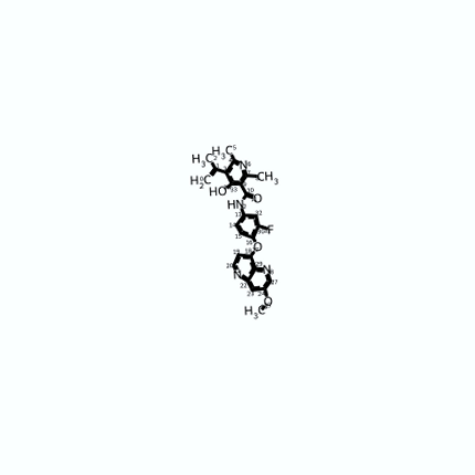 C=C(C)c1c(C)nc(C)c(C(=O)Nc2ccc(Oc3ccnc4cc(OC)cnc34)c(F)c2)c1O